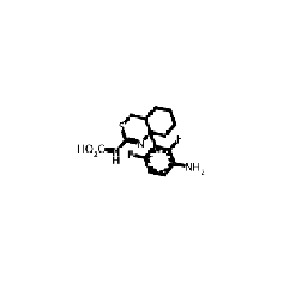 Nc1ccc(F)c(C23CCCCC2CSC(NC(=O)O)=N3)c1F